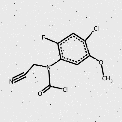 COc1cc(N(CC#N)C(=O)Cl)c(F)cc1Cl